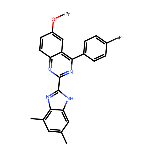 Cc1cc(C)c2nc(-c3nc(-c4ccc(C(C)C)cc4)c4cc(OC(C)C)ccc4n3)[nH]c2c1